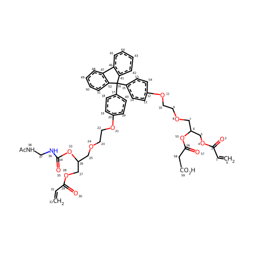 C=CC(=O)OCC(COCCOc1ccc(C2(c3ccc(OCCOCC(COC(=O)C=C)OC(=O)NCNC(C)=O)cc3)c3ccccc3-c3ccccc32)cc1)OC(=O)CC(=O)O